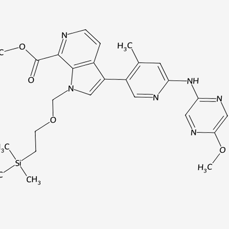 COC(=O)c1nccc2c(-c3cnc(Nc4cnc(OC)cn4)cc3C)cn(COCC[Si](C)(C)C)c12